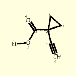 C#CC1(C(=O)OCC)CC1